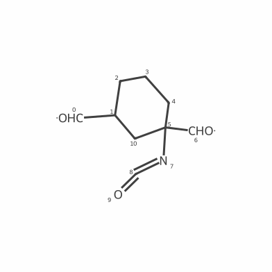 O=[C]C1CCCC([C]=O)(N=C=O)C1